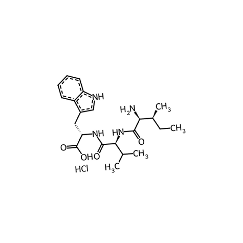 CC[C@H](C)[C@H](N)C(=O)N[C@H](C(=O)N[C@@H](Cc1c[nH]c2ccccc12)C(=O)O)C(C)C.Cl